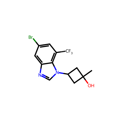 CC1(O)CC(n2cnc3cc(Br)cc(C(F)(F)F)c32)C1